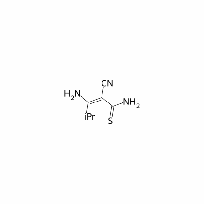 CC(C)C(N)=C(C#N)C(N)=S